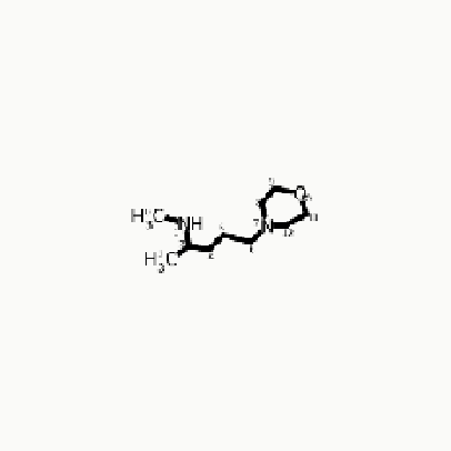 CNC(C)CCCN1CCOCC1